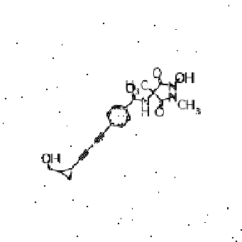 CNC(=O)C(C)(NC(=O)c1ccc(C#CC#CC2CC2CO)cc1)C(=O)NO